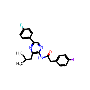 CC(C)Cc1nc(-c2ccc(F)cc2)cnc1NC(=O)Cc1ccc(I)cc1